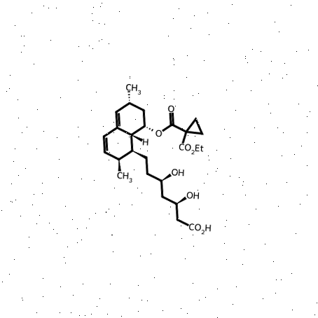 CCOC(=O)C1(C(=O)O[C@H]2C[C@@H](C)C=C3C=C[C@H](C)[C@H](CC[C@@H](O)C[C@@H](O)CC(=O)O)[C@H]32)CC1